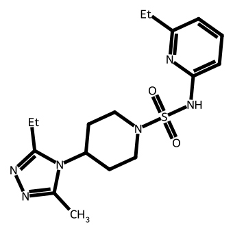 CCc1cccc(NS(=O)(=O)N2CCC(n3c(C)nnc3CC)CC2)n1